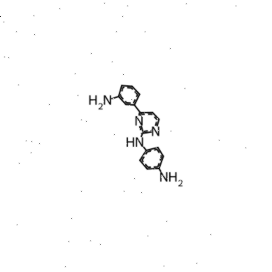 Nc1ccc(Nc2nccc(-c3cccc(N)c3)n2)cc1